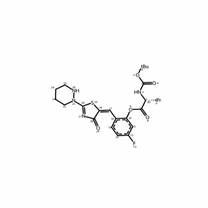 CC(C)[C@@H](NC(=O)OC(C)(C)C)C(=O)Oc1cc(F)ccc1C=C1SC(N2CCCCN2)=NC1=O